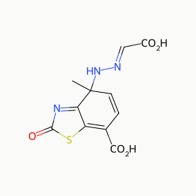 CC1(NN=CC(=O)O)C=CC(C(=O)O)=C2SC(=O)N=C21